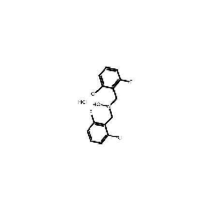 Cl.ON(Cc1c(F)cccc1Cl)Cc1c(F)cccc1Cl